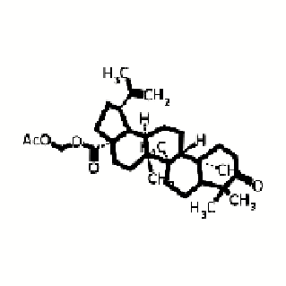 C=C(C)[C@@H]1CC[C@]2(C(=O)OCOC(C)=O)CC[C@]3(C)[C@H](CC[C@@H]4[C@@]5(C)CCC(=O)C(C)(C)C5CC[C@]43C)C12